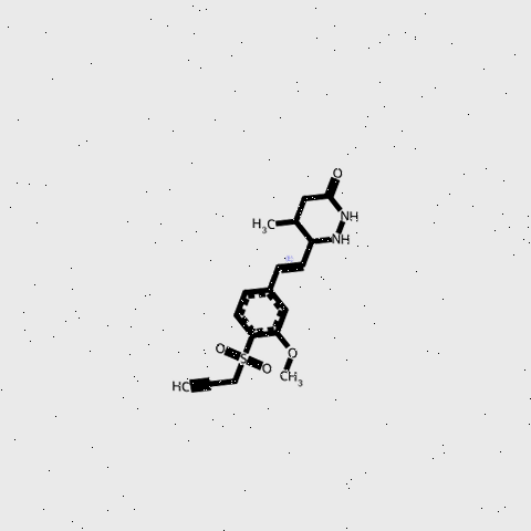 C#CCS(=O)(=O)c1ccc(/C=C/C2NNC(=O)CC2C)cc1OC